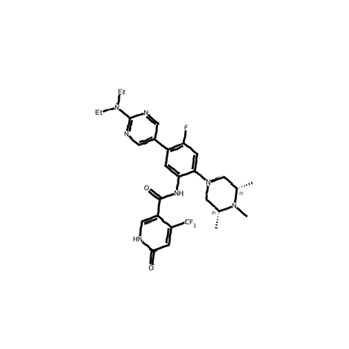 CCN(CC)c1ncc(-c2cc(NC(=O)c3c[nH]c(=O)cc3C(F)(F)F)c(N3C[C@@H](C)N(C)[C@@H](C)C3)cc2F)cn1